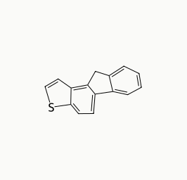 c1ccc2c(c1)Cc1c-2ccc2sccc12